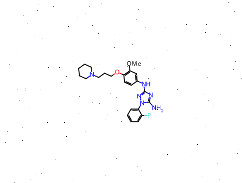 COc1cc(Nc2nc(N)n(-c3ccccc3F)n2)ccc1OCCCN1CCCCC1